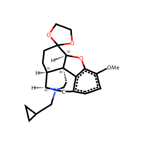 COc1ccc2c3c1O[C@@H]1C4(CC[C@@H]5[C@H](C2)N(CC2CC2)CC[C@]351)OCCO4